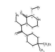 CCOC(=O)C1(C)CCN(C(=O)C(CC(C)C)N2CCN[C@@H](CC(C)C)C2=O)CC1